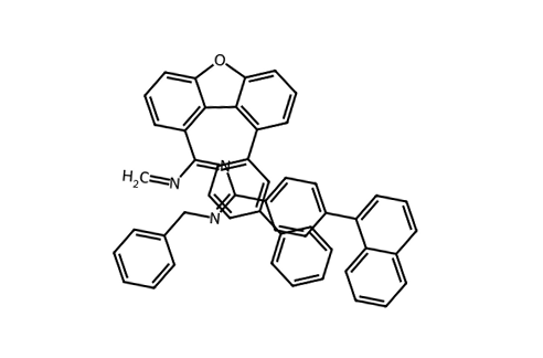 C=N/C(=N\C(=N/Cc1ccccc1)c1ccc(-c2cccc3ccccc23)cc1)c1cccc2oc3cccc(-c4cccc(-c5ccccc5)c4)c3c12